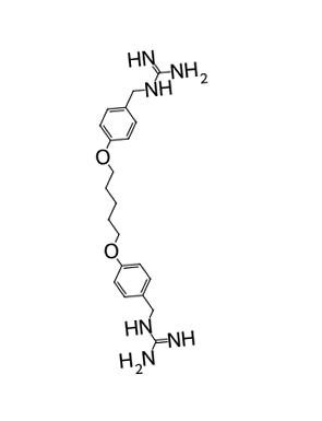 N=C(N)NCc1ccc(OCCCCCOc2ccc(CNC(=N)N)cc2)cc1